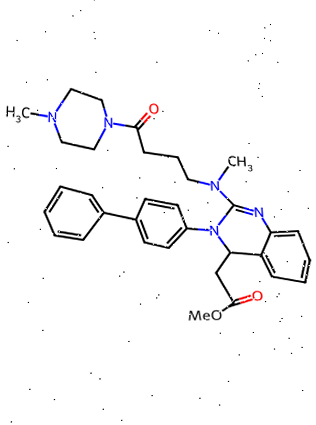 COC(=O)CC1c2ccccc2N=C(N(C)CCCC(=O)N2CCN(C)CC2)N1c1ccc(-c2ccccc2)cc1